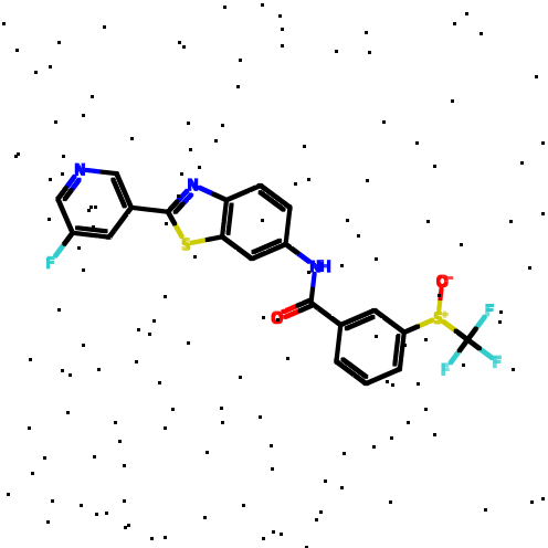 O=C(Nc1ccc2nc(-c3cncc(F)c3)sc2c1)c1cccc([S+]([O-])C(F)(F)F)c1